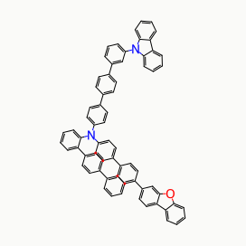 c1ccc(-c2ccc(-c3ccccc3N(c3ccc(-c4ccc(-c5cccc(-n6c7ccccc7c7ccccc76)c5)cc4)cc3)c3ccc(-c4ccc(-c5ccc6c(c5)oc5ccccc56)cc4)cc3)cc2)cc1